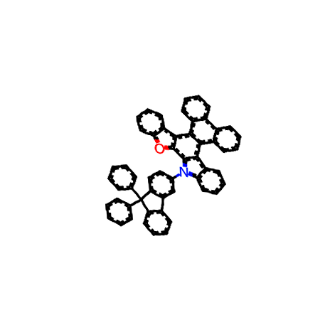 c1ccc(C2(c3ccccc3)c3ccccc3-c3cc(-n4c5ccccc5c5c6c7ccccc7c7ccccc7c6c6c7ccccc7oc6c54)ccc32)cc1